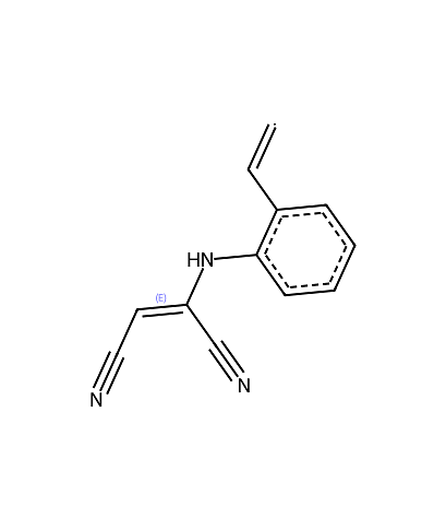 [CH]=Cc1ccccc1N/C(C#N)=C/C#N